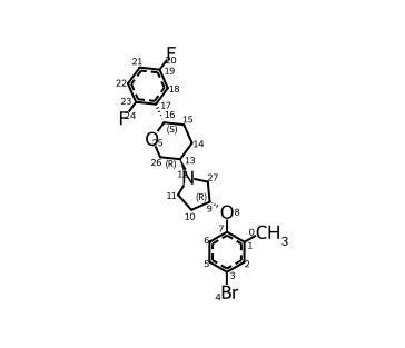 Cc1cc(Br)ccc1O[C@@H]1CCN([C@@H]2CC[C@@H](c3cc(F)ccc3F)OC2)C1